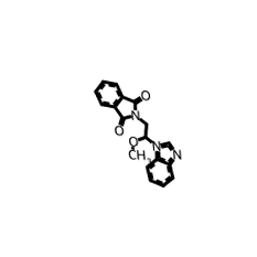 COC(CN1C(=O)c2ccccc2C1=O)n1cnc2ccccc21